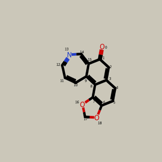 O=c1cc2ccc3c(c2c2cccncc1-2)OCO3